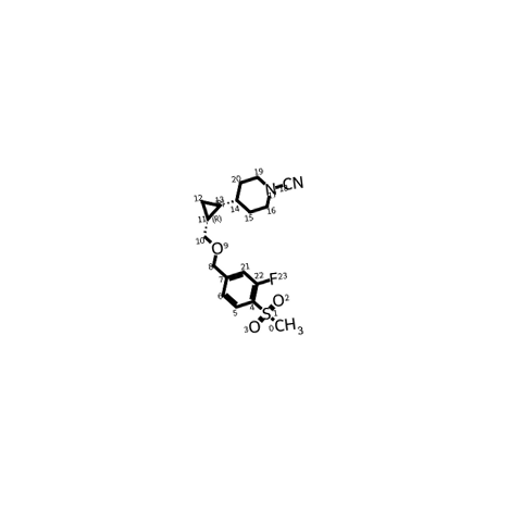 CS(=O)(=O)c1ccc(COC[C@@H]2C[C@@H]2C2CCN(C#N)CC2)cc1F